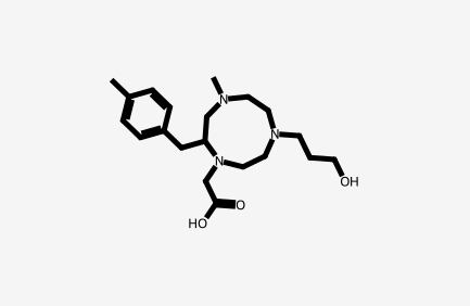 Cc1ccc(CC2CN(C)CCN(CCCO)CCN2CC(=O)O)cc1